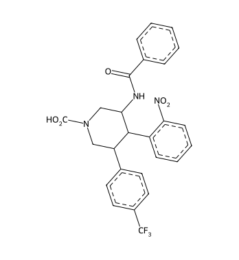 O=C(NC1CN(C(=O)O)CC(c2ccc(C(F)(F)F)cc2)C1c1ccccc1[N+](=O)[O-])c1ccccc1